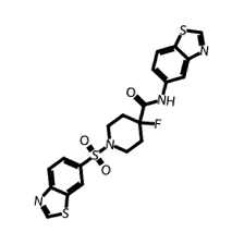 O=C(Nc1ccc2scnc2c1)C1(F)CCN(S(=O)(=O)c2ccc3ncsc3c2)CC1